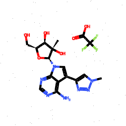 Cn1cc(-c2cn([C@@H]3O[C@H](CO)[C@@H](O)[C@@]3(C)O)c3ncnc(N)c23)nn1.O=C(O)C(F)(F)F